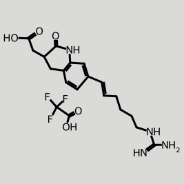 N=C(N)NCCCCC=Cc1ccc2c(c1)NC(=O)C(CC(=O)O)C2.O=C(O)C(F)(F)F